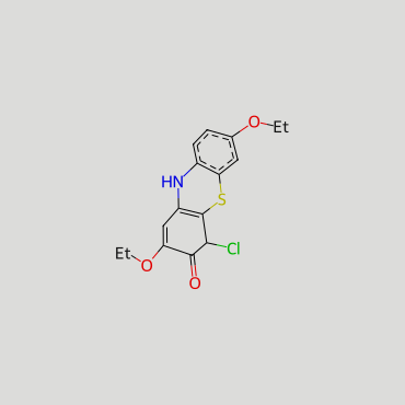 CCOC1=CC2=C(Sc3cc(OCC)ccc3N2)C(Cl)C1=O